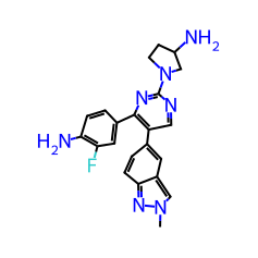 Cn1cc2cc(-c3cnc(N4CCC(N)C4)nc3-c3ccc(N)c(F)c3)ccc2n1